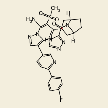 CS(=O)(=O)c1c([C@@H]2C[C@H]3CC[C@@H](C2)N3C(=O)c2nnc[nH]2)nc2c(-c3ccc(-c4ccc(F)cc4)nc3)cnn2c1N